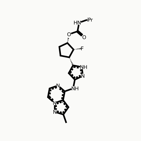 Cc1cc2c(Nc3cc([C@@H]4CC[C@H](OC(=O)NC(C)C)[C@@H]4F)[nH]n3)nccn2n1